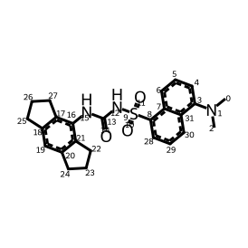 CN(C)c1cccc2c(S(=O)(=O)NC(=O)Nc3c4c(cc5c3CCC5)CCC4)cccc12